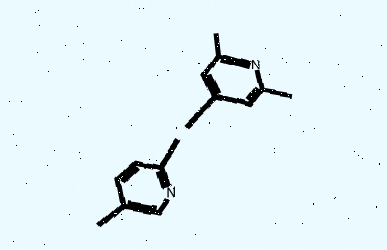 Cc1cc(C)nc(C)c1.Cc1ccc(C)nc1